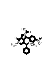 COC(c1ccccc1)c1cn(C)c(=O)c2cn(C(=O)O)c(-c3ccc([N+](=O)[O-])cc3)c12